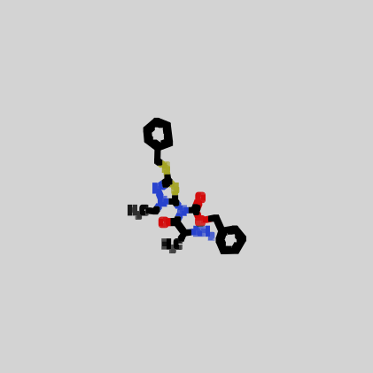 CCN1N=C(SCc2ccccc2)SC1N(C(=O)OCc1ccccc1)C(=O)[C@H](C)N